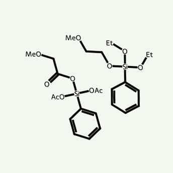 CCO[Si](OCC)(OCCOC)c1ccccc1.COCC(=O)O[Si](OC(C)=O)(OC(C)=O)c1ccccc1